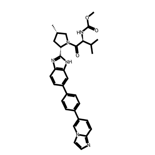 COC(=O)N[C@H](C(=O)N1C[C@@H](C)C[C@H]1c1nc2ccc(-c3ccc(-c4ccc5nccn5c4)cc3)cc2[nH]1)C(C)C